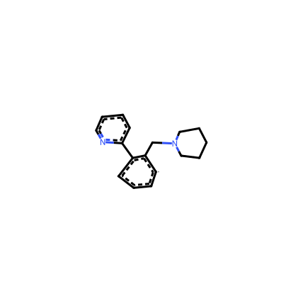 [c]1cccc(-c2ccccn2)c1CN1CCCCC1